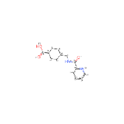 O=C(NCC1CCC(C(=O)O)CC1)c1ccccn1